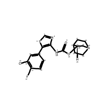 O=C(Nc1ncsc1-c1ccc(F)c(Cl)c1)O[C@H]1CN2CCC1CC2